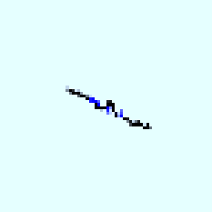 CCCCCC/N=C(\C)c1cccc(/C(C)=N/CCCCCC)n1